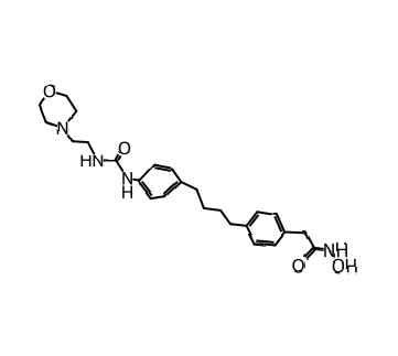 O=C(Cc1ccc(CCCCc2ccc(NC(=O)NCCN3CCOCC3)cc2)cc1)NO